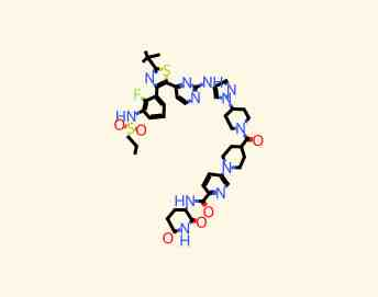 CCCS(=O)(=O)Nc1cccc(-c2nc(C(C)(C)C)sc2-c2ccnc(Nc3cnn(C4CCN(C(=O)C5CCN(c6ccc(C(=O)N[C@@H]7CCC(=O)NC7=O)nc6)CC5)CC4)c3)n2)c1F